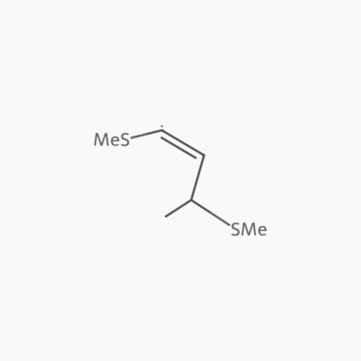 CS/[C]=C\C(C)SC